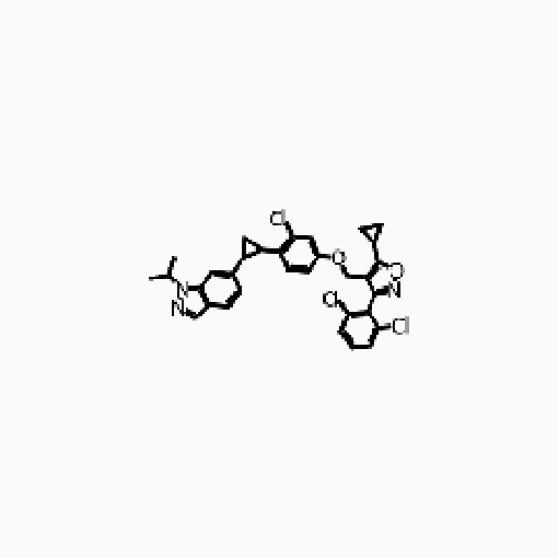 CC(C)n1ncc2ccc(C3CC3c3ccc(OCc4c(-c5c(Cl)cccc5Cl)noc4C4CC4)cc3Cl)cc21